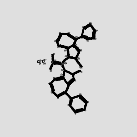 CC1C=C2C(c3ccccc3)=CC=CC=C2[CH]1[Zr+2]([CH]1C2=CC=CC=C(c3ccccc3)C2=CC1C)=[Si](C)C.[Cl-].[Cl-]